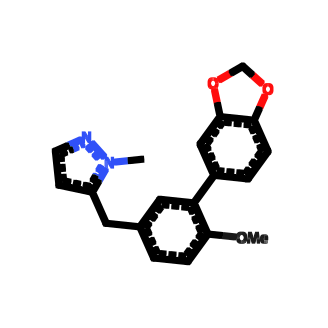 COc1ccc(Cc2ccnn2C)cc1-c1ccc2c(c1)OCO2